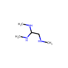 CNC[C](NC)NC